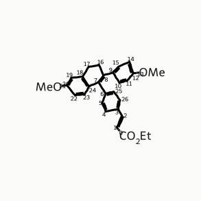 CCOC(=O)/C=C/c1ccc(C2=C(c3ccc(OC)cc3)CCc3cc(OC)ccc32)cc1